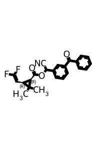 CC1(C)[C@H](C(=O)OC(C#N)c2cccc(C(=O)c3ccccc3)c2)[C@@H]1C=C(F)F